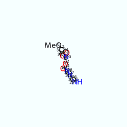 COc1cc(C)c(S(=O)(=O)N(C)CCOCC(=O)N2CCN(C3CCNCC3)CC2)c(C)c1